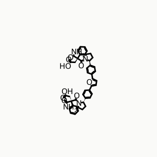 NC(=O)[C@@](CC(=O)O)(C(=O)N1CCC[C@H]1c1ccc(-c2ccc(-c3ccc([C@@H]4CCCN4C(=O)[C@](CC(=O)O)(C(N)=O)c4ccccc4)cc3)o2)cc1)c1ccccc1